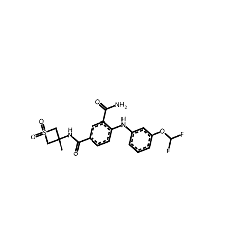 CC1(NC(=O)c2ccc(Nc3cccc(OC(F)F)c3)c(C(N)=O)c2)CS(=O)(=O)C1